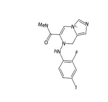 CNC(=O)C1=C[N+]2C=NC=C2CN1Nc1ccc(I)cc1F